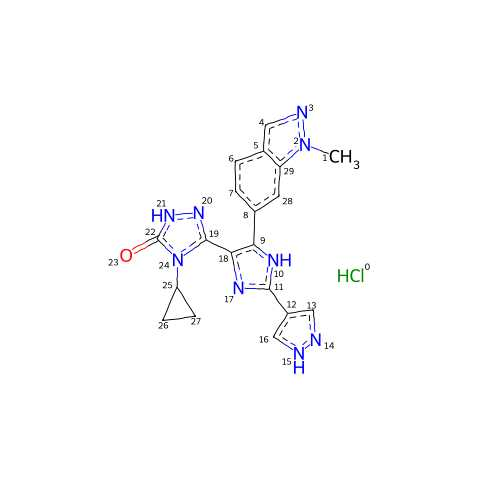 Cl.Cn1ncc2ccc(-c3[nH]c(-c4cn[nH]c4)nc3-c3n[nH]c(=O)n3C3CC3)cc21